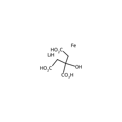 O=C(O)CC(O)(CC(=O)O)C(=O)O.[Fe].[LiH]